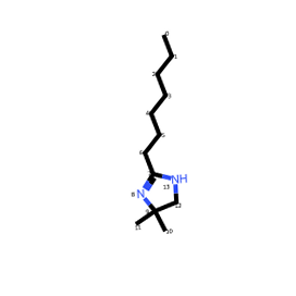 CCCCCCCC1=NC(C)(C)CN1